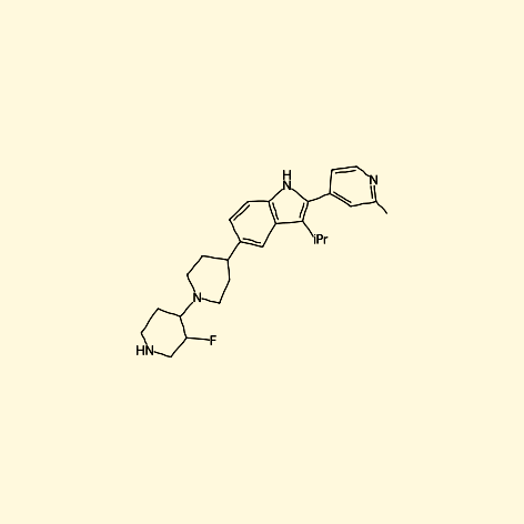 Cc1cc(-c2[nH]c3ccc(C4CCN(C5CCNCC5F)CC4)cc3c2C(C)C)ccn1